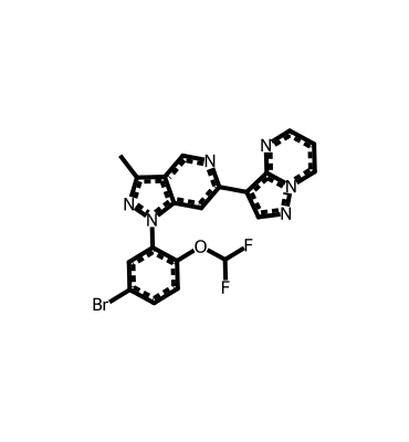 Cc1nn(-c2cc(Br)ccc2OC(F)F)c2cc(-c3cnn4cccnc34)ncc12